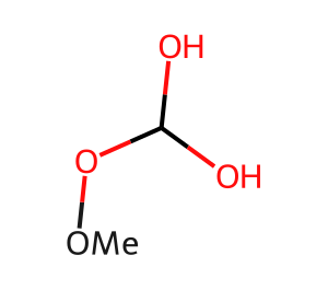 COOC(O)O